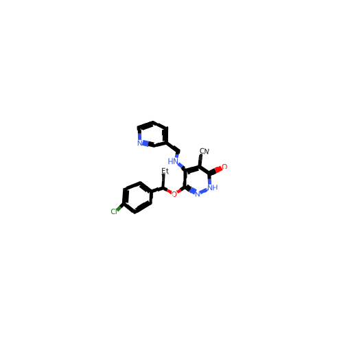 CCC(Oc1n[nH]c(=O)c(C#N)c1NCc1cccnc1)c1ccc(Cl)cc1